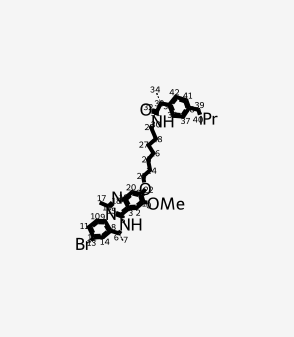 COc1cc2c(N[C@H](C)c3cccc(Br)c3)nc(C)nc2cc1OCCCCCCCNC(=O)[C@H](C)c1ccc(CC(C)C)cc1